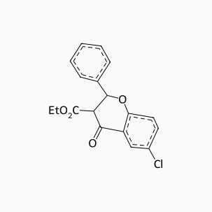 CCOC(=O)C1C(=O)c2cc(Cl)ccc2OC1c1ccccc1